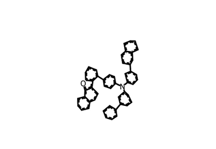 c1ccc(-c2cccc(N(c3ccc(-c4cccc5oc6c7ccccc7ccc6c45)cc3)c3cccc(-c4ccc5ccccc5c4)c3)c2)cc1